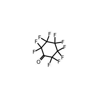 O=C1C(F)(F)C(F)(F)C(F)(F)C(F)(F)C1(F)F